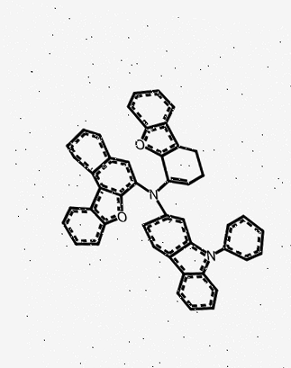 C1=C(N(c2ccc3c4ccccc4n(-c4ccccc4)c3c2)c2cc3ccccc3c3c2oc2ccccc23)c2oc3ccccc3c2CC1